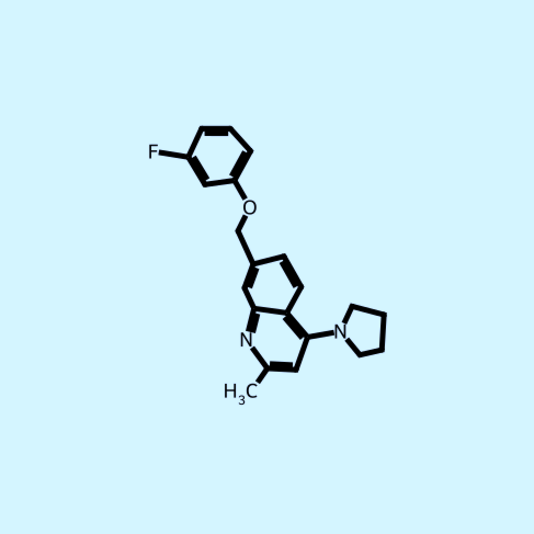 Cc1cc(N2CCCC2)c2ccc(COc3cccc(F)c3)cc2n1